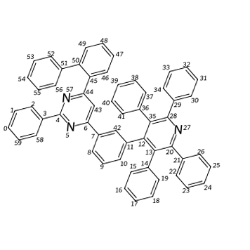 c1ccc(-c2nc(-c3cccc(-c4c(-c5ccccc5)c(-c5ccccc5)nc(-c5ccccc5)c4-c4ccccc4)c3)cc(-c3ccccc3-c3ccccc3)n2)cc1